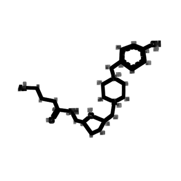 CC(=O)CCCC(=O)NCC1CCC(CN2CCN(Cc3ccc(O)cc3)CC2)O1